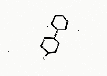 [CH2]C1CCC(C2CCCCC2)CC1